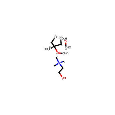 C[N+](C)(C)CCO.O=COC(CC(=O)O)(CC(=O)O)C(=O)O.O=C[O-]